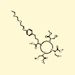 CCOCCOCCOc1ccc(CCC[C@H](C(=O)O)N2CCN(C(CO)C(=O)OC)CCN([C@H](CO)C(=O)OC)CCN([C@H](CO)C(=O)OC)CC2)cc1